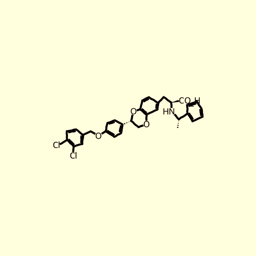 C[C@H](N[C@@H](Cc1ccc2c(c1)OC[C@H](c1ccc(OCc3ccc(Cl)c(Cl)c3)cc1)O2)C(=O)O)c1ccccc1